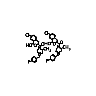 CC1CN(Cc2ccc(F)cc2)CCN1C(=O)/C=C/c1ccc(Cl)cc1C(=O)O.CC1CN(Cc2ccc(F)cc2)CCN1C(=O)/C=C/c1ccc(Cl)cc1C(=O)O